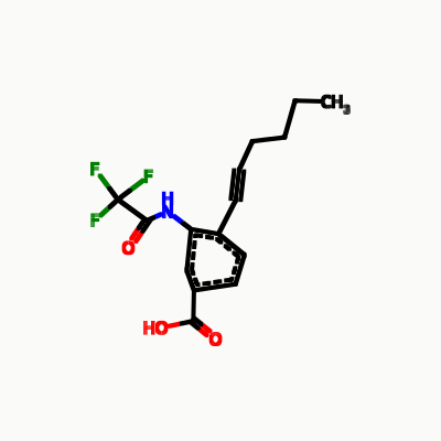 CCCCC#Cc1ccc(C(=O)O)cc1NC(=O)C(F)(F)F